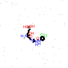 NC(CCCCB(O)O)(CCCN1CC(NC(=O)Nc2ccc(Cl)c(Cl)c2)C1)C(=O)O